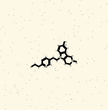 CCCc1ccc(CCn2c3c(c4cc(C)ccc42)CN(C)CC3)cn1